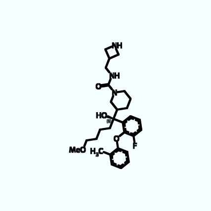 COCCCC[C@@](O)(c1cccc(F)c1Oc1ccccc1C)C1CCCN(C(=O)NCC2CNC2)C1